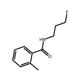 Cc1ccccc1C(=O)NCCCF